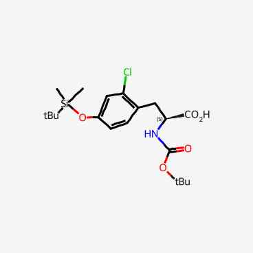 CC(C)(C)OC(=O)N[C@@H](Cc1ccc(O[Si](C)(C)C(C)(C)C)cc1Cl)C(=O)O